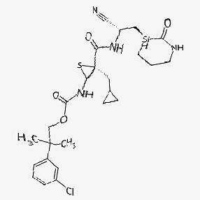 CC(C)(COC(=O)NC1S[C@@]1(CC1CC1)C(=O)N[C@H](C#N)C[Si@@H]1CCCNC1=O)c1cccc(Cl)c1